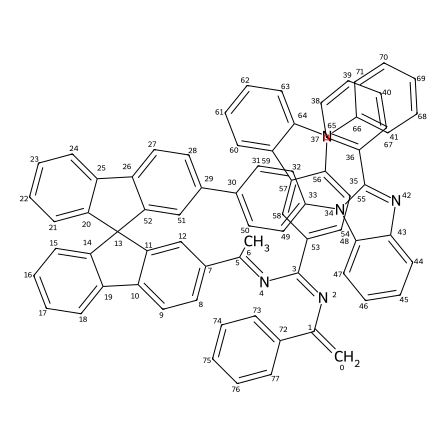 C=C(/N=C(\N=C(/C)c1ccc2c(c1)C1(c3ccccc3-2)c2ccccc2-c2ccc(-c3ccc(-n4c(-c5ccccc5)nc5ccccc54)cc3)cc21)c1ccc2c(c1)c1ccccc1n2-c1ccccc1)c1ccccc1